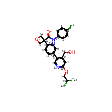 O=C(Nc1ccc(F)cc1)C1(c2ccc(-c3cnc(OCC(F)F)cc3CO)cc2)COC1